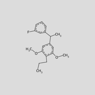 CCCc1c(OC)cc(C(C)c2cccc(F)c2)cc1OC